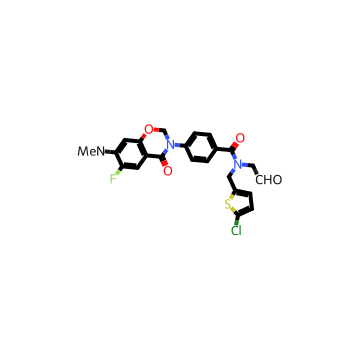 CNc1cc2c(cc1F)C(=O)N(c1ccc(C(=O)N(CC=O)Cc3ccc(Cl)s3)cc1)CO2